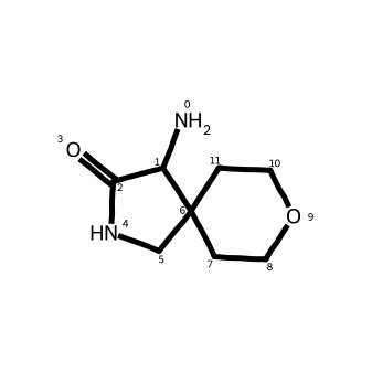 NC1C(=O)NCC12CCOCC2